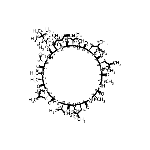 C=CC[C@@H](C)[C@@H](O[Si](C)(C)C(C)(C)C)[C@H]1C(=O)N[C@@H](CC)C(=O)N(C)[C@H](C)C(=O)N(C)[C@@H](CC(C)C)C(=O)N[C@H](C(C)C)C(=O)N(C)[C@H](CC(C)C)C(=O)N[C@H](C)C(=O)N[C@@H](C)C(=O)N(C)[C@H](CC(C)C)C(=O)N(C)[C@H](CC(C)C)C(=O)N(C)[C@H](C(C)C)C(=O)N1C